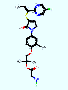 C/C=C(\SC1=CCN(c2ccc(OCC(C)(C)OC(=O)CNCl)c(OC)c2)C1=O)c1ncc(Cl)cn1